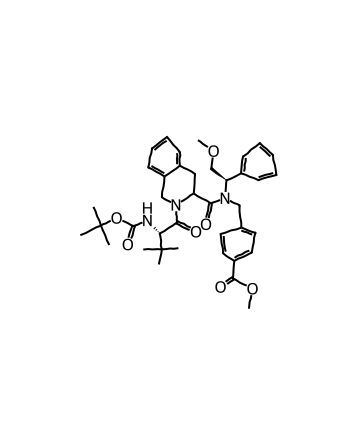 COC[C@@H](c1ccccc1)N(Cc1ccc(C(=O)OC)cc1)C(=O)C1Cc2ccccc2CN1C(=O)[C@@H](NC(=O)OC(C)(C)C)C(C)(C)C